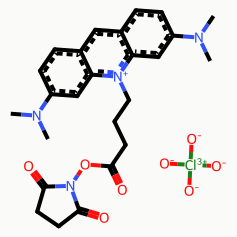 CN(C)c1ccc2cc3ccc(N(C)C)cc3[n+](CCCC(=O)ON3C(=O)CCC3=O)c2c1.[O-][Cl+3]([O-])([O-])[O-]